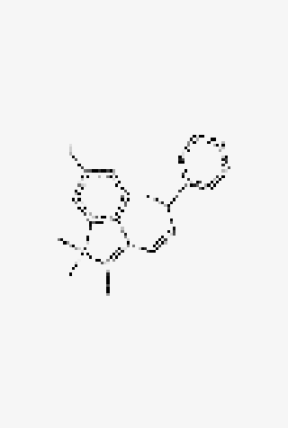 CC1=C(/C=C\C(C)c2ccccc2)c2ccc(I)cc2C1(C)C